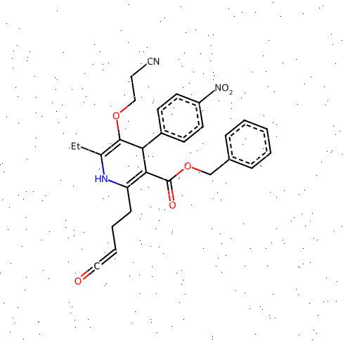 CCC1=C(OCCC#N)C(c2ccc([N+](=O)[O-])cc2)C(C(=O)OCc2ccccc2)=C(CCC=C=O)N1